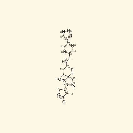 CC1=C(N2C(=O)C3(CCC(NCc4cnc(-n5cnnn5)cn4)CC3)C[C@H]2C)COC1=O